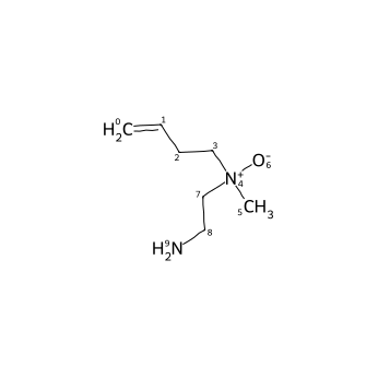 C=CCC[N+](C)([O-])CCN